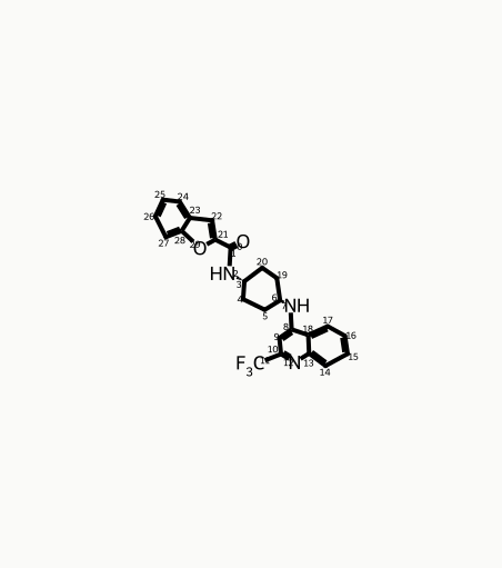 O=C(N[C@H]1CC[C@@H](Nc2cc(C(F)(F)F)nc3ccccc23)CC1)c1cc2ccccc2o1